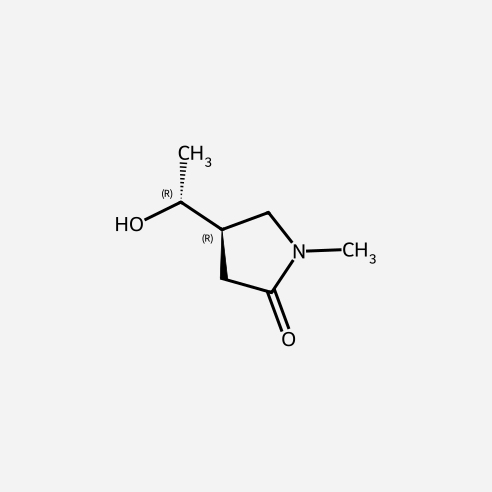 C[C@@H](O)[C@@H]1CC(=O)N(C)C1